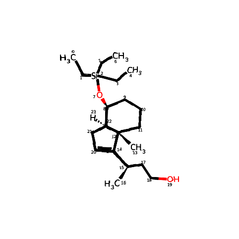 CC[Si](CC)(CC)O[C@H]1CCC[C@]2(C)C([C@H](C)CCO)=CC[C@@H]12